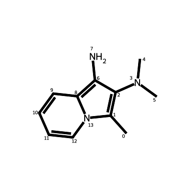 Cc1c(N(C)C)c(N)c2ccccn12